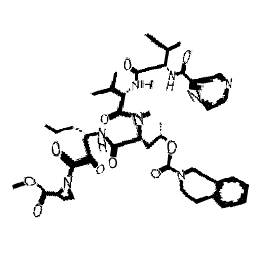 CCC[C@H](NC(=O)[C@H](C[C@H](C)OC(=O)N1CCc2ccccc2C1)N(C)C(=O)[C@@H](NC(=O)[C@@H](NC(=O)c1cnccn1)C(C)C)C(C)C)C(=O)C(=O)N1CC1C(=O)OC